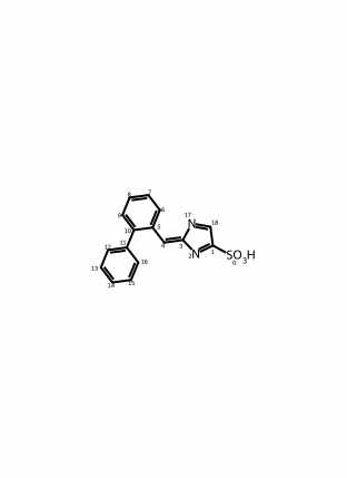 O=S(=O)(O)C1=NC(=Cc2ccccc2-c2ccccc2)N=C1